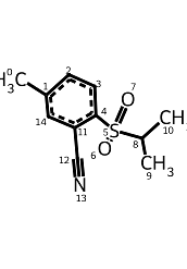 Cc1ccc(S(=O)(=O)C(C)C)c(C#N)c1